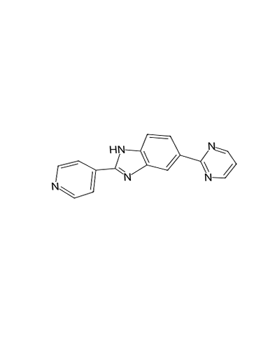 c1cnc(-c2ccc3[nH]c(-c4ccncc4)nc3c2)nc1